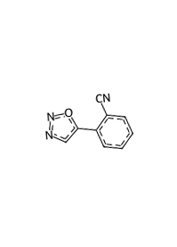 N#Cc1ccccc1-c1cnno1